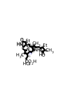 CC[C@H]1[C@H](Cc2[nH]c(/C=C3\N=C(C[C@@H]4NC(=O)[C@H](CC)[C@H]4C)C(C)=C3CCC(=O)O)c(CCC(=O)O)c2C)NC(=O)[C@@H]1C.Cl